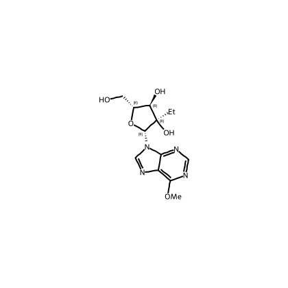 CC[C@@]1(O)[C@H](O)[C@@H](CO)O[C@H]1n1cnc2c(OC)ncnc21